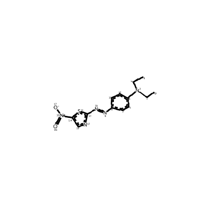 CCN(CC)c1ccc(N=Nc2ncc([N+](=O)[O-])s2)cc1